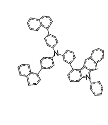 c1ccc(-n2c3cc4ccccc4cc3c3c(-c4cccc(N(c5ccc(-c6cccc7ccccc67)cc5)c5ccc(-c6cccc7ccccc67)cc5)c4)cccc32)cc1